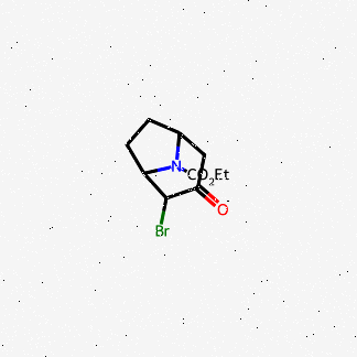 CCOC(=O)N1C2CCC1C(Br)C(=O)C2